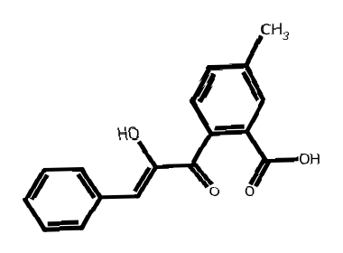 Cc1ccc(C(=O)/C(O)=C/c2ccccc2)c(C(=O)O)c1